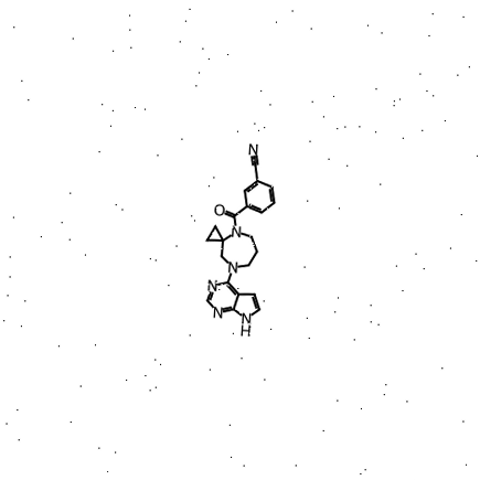 N#Cc1cccc(C(=O)N2CCCN(c3ncnc4[nH]ccc34)CC23CC3)c1